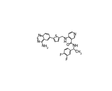 C[C@H](NC(=O)c1cnccc1NCc1ccc(-c2ccc3ncnc(N)c3c2)s1)c1ccc(F)c(F)c1